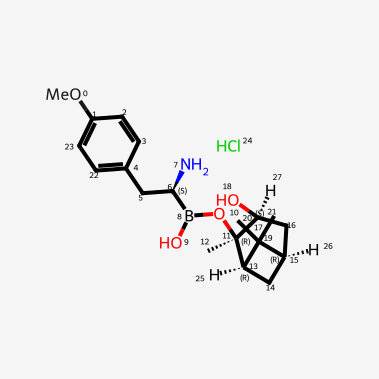 COc1ccc(C[C@@H](N)B(O)O[C@]2(C)[C@@H]3C[C@H](C[C@@H]2O)C3(C)C)cc1.Cl